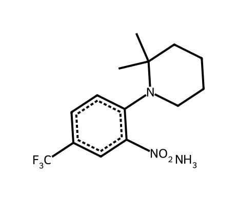 CC1(C)CCCCN1c1ccc(C(F)(F)F)cc1[N+](=O)[O-].N